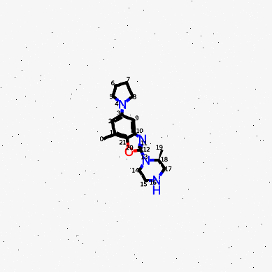 Cc1cc(N2CCCC2)cc2nc(N3CCNC[C@@H]3C)oc12